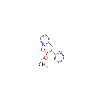 CCOC(=O)C(Cc1ccccn1)c1ccccn1